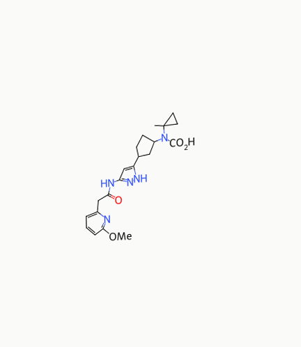 COc1cccc(CC(=O)Nc2cc(C3CCC(N(C(=O)O)C4(C)CC4)C3)[nH]n2)n1